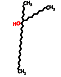 CCCCCCCCCCCCCCCCCC(O)C(CCCCCC)CCCCCCCCC